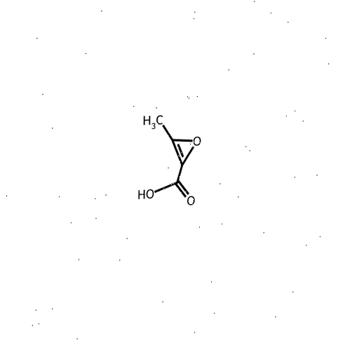 CC1=C(C(=O)O)O1